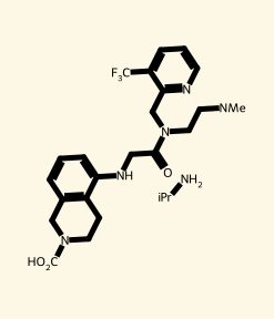 CC(C)N.CNCCN(Cc1ncccc1C(F)(F)F)C(=O)CNc1cccc2c1CCN(C(=O)O)C2